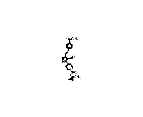 CC1(OC(=O)N2CCC(n3ncc(COc4ccc(C(N)=O)cc4)c3C#N)CC2)CC1